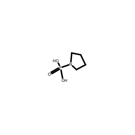 O=P(O)(O)N1C[CH]CC1